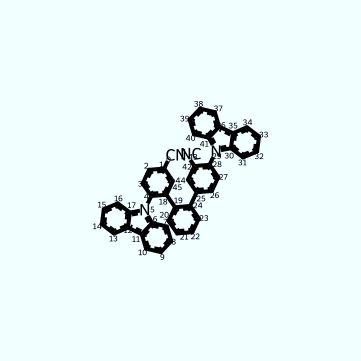 N#Cc1ccc(-n2c3ccccc3c3ccccc32)c(-c2ccccc2-c2ccc(-n3c4ccccc4c4ccccc43)c(C#N)c2)c1